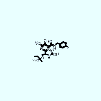 CCC(C)(O)OCC(c1nc(O)c(O)c(C(=O)NCc2ccc(F)cc2)n1)N(C)C(=O)O